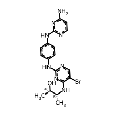 C[C@@H](O)[C@@H](C)Nc1nc(Nc2ccc(Nc3nccc(N)n3)cc2)ncc1Br